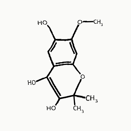 COc1cc2c(cc1O)C(O)=C(O)C(C)(C)O2